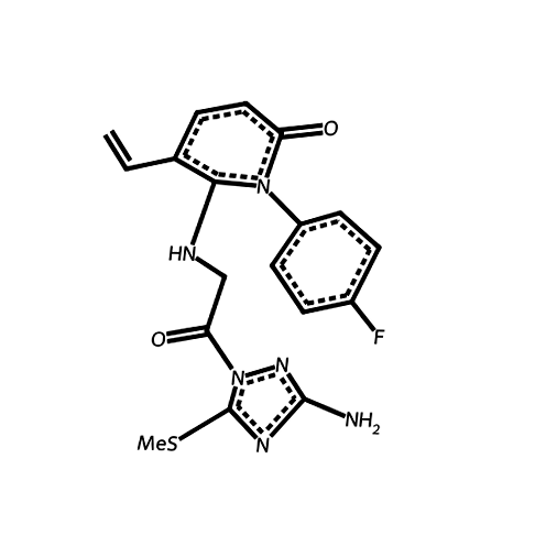 C=Cc1ccc(=O)n(-c2ccc(F)cc2)c1NCC(=O)n1nc(N)nc1SC